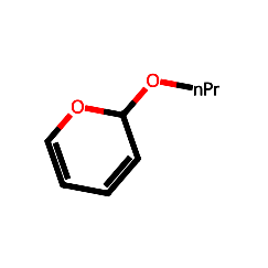 CCCO[C]1C=CC=CO1